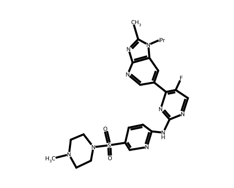 Cc1nc2ncc(-c3nc(Nc4ccc(S(=O)(=O)N5CCN(C)CC5)cn4)ncc3F)cc2n1C(C)C